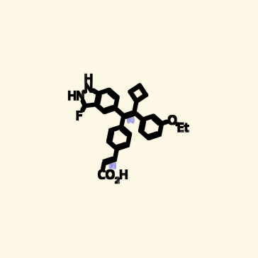 CCOc1cccc(/C(=C(\c2ccc(/C=C/C(=O)O)cc2)c2ccc3c(c2)C(F)NN3)C2CCC2)c1